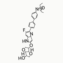 CCS(=O)(CC)=Nc1ccc(-c2ccc(-c3nc4cc(O[C@@H]5CO[C@H]6[C@@H]5OC[C@H]6O)[nH]c4cc3F)cc2)cc1